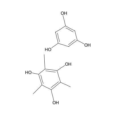 Cc1c(O)c(C)c(O)c(C)c1O.Oc1cc(O)cc(O)c1